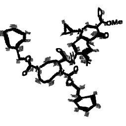 COC(=O)c1cn(C2CC2)c2cc(NC(=O)[C@@H]3CN(C(=O)OCc4ccccc4)CCN3C(=O)OCc3ccccc3)c(F)cc2c1=O